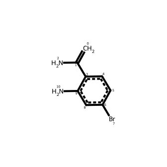 C=C(N)c1ccc(Br)cc1N